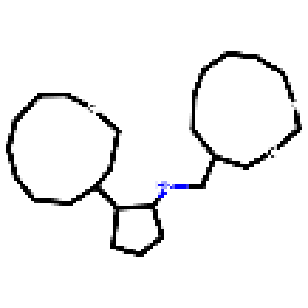 C1CCCCCC(CNC2CCCC2C2CCCCCCCCCC2)CCCC1